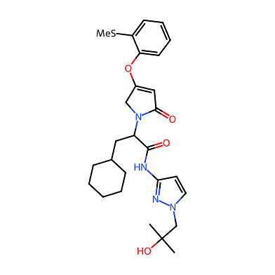 CSc1ccccc1OC1=CC(=O)N(C(CC2CCCCC2)C(=O)Nc2ccn(CC(C)(C)O)n2)C1